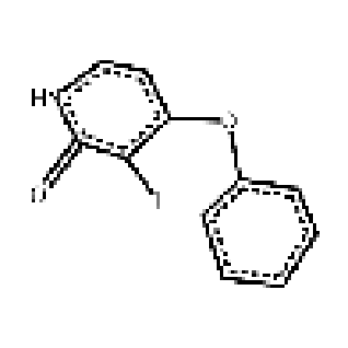 O=c1[nH]ccc(Oc2ccccc2)c1I